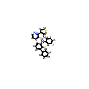 c1cnc2c(c1)B1N(c3ccccc3N1c1cccc3c1sc1ccccc13)c1sccc1-2